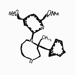 COc1cc(OC)nc(N2CCNCC2(C)c2ccccc2)c1